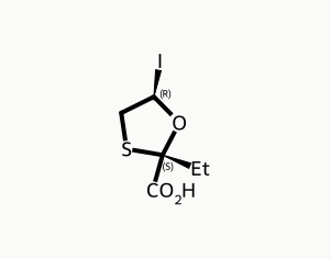 CC[C@]1(C(=O)O)O[C@H](I)CS1